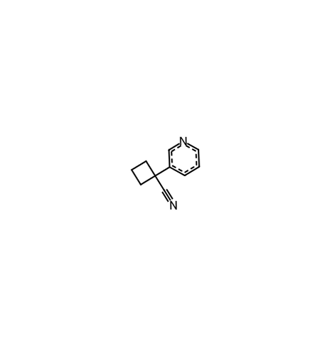 N#CC1(c2cccnc2)CCC1